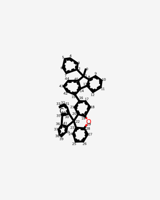 CC1(c2ccccc2)c2ccccc2-c2c(-c3ccc4c(c3)C3(c5ccccc5O4)c4ccccc4-c4ccccc43)cccc21